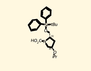 CC(C)O[C@@H]1C[C@@H](CO[Si](c2ccccc2)(c2ccccc2)C(C)(C)C)N(C(=O)O)C1